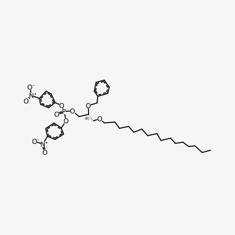 CCCCCCCCCCCCCCCCOC[C@H](COP(=O)(Oc1ccc([N+](=O)[O-])cc1)Oc1ccc([N+](=O)[O-])cc1)OCc1ccccc1